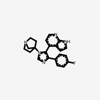 Fc1ccc(-c2ncn(C34CCN(CC3)C4)c2-c2ccnc3[nH]ccc23)cc1